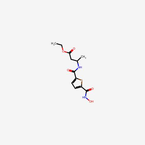 CCOC(=O)CC(C)NC(=O)c1ccc(C(=O)NO)s1